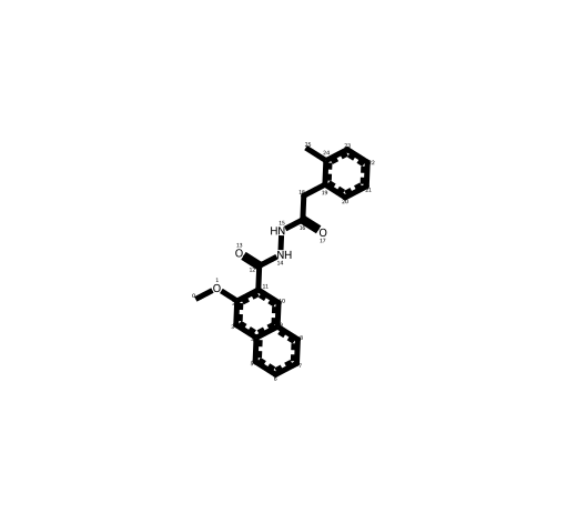 COc1cc2ccccc2cc1C(=O)NNC(=O)Cc1ccccc1C